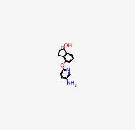 Nc1ccc(Oc2cccc3c2CC[C@@H]3O)nc1